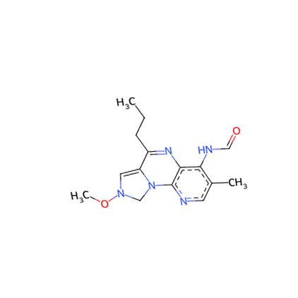 CCCC1=Nc2c(ncc(C)c2NC=O)N2CN(OC)C=C12